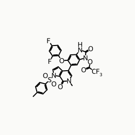 Cc1ccc(S(=O)(=O)n2ccc3c(-c4cc5c(cc4Oc4ccc(F)cc4F)[nH]c(=O)n5OC(=O)C(F)(F)F)cn(C)c(=O)c32)cc1